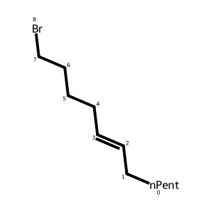 CCCCCCC=CCCCCBr